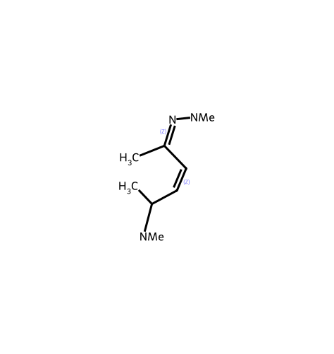 CN/N=C(C)\C=C/C(C)NC